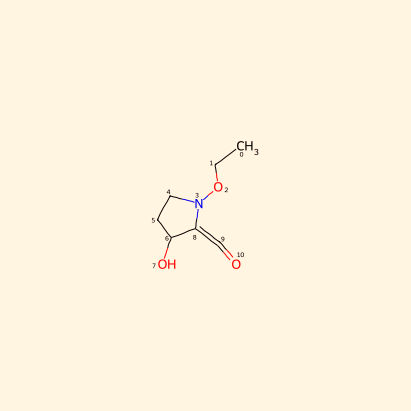 CCON1CCC(O)C1=C=O